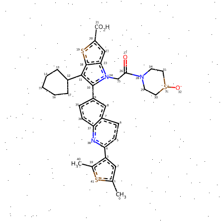 Cc1cc(-c2ccc3cc(-c4c(C5CCCCC5)c5sc(C(=O)O)cc5n4CC(=O)N4CC[S+]([O-])CC4)ccc3n2)c(C)s1